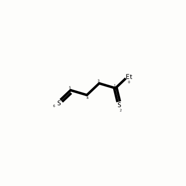 CCC(=S)CCC=S